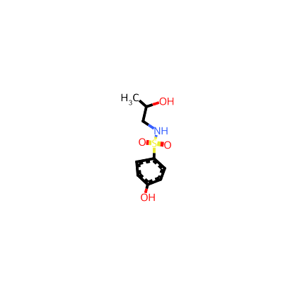 CC(O)CNS(=O)(=O)c1ccc(O)cc1